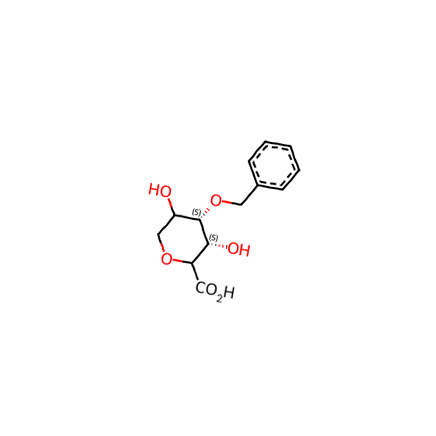 O=C(O)C1OCC(O)[C@H](OCc2ccccc2)[C@@H]1O